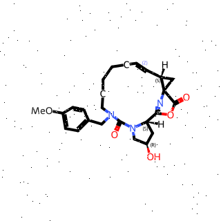 COc1ccc(CN2CCCCC/C=C\[C@@H]3CC34N=C(OC4=O)[C@@H]3C[C@@H](O)CN3C2=O)cc1